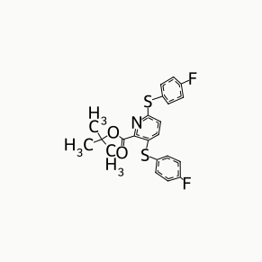 CC(C)(C)OC(=O)c1nc(Sc2ccc(F)cc2)ccc1Sc1ccc(F)cc1